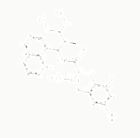 CCOC(OCC)[C@@H](C)C(NC(=O)[C@H](Cc1c(C)cc(O)cc1C)NC(=O)O)c1cccc2cccnc12